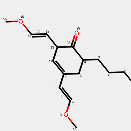 CCCCC1CC(/C=C/OC)=CC(/C=C/OC)C1=O